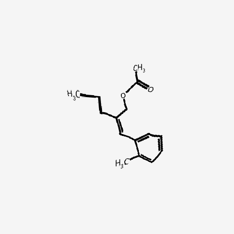 CCCC(=Cc1ccccc1C)COC(C)=O